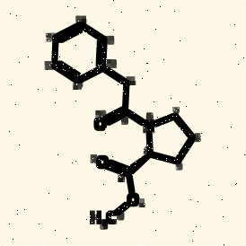 COC(=O)[C@@H]1CCCN1C(=O)Cc1ccccc1